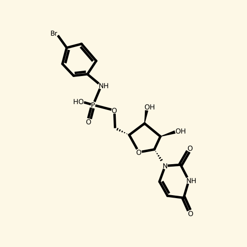 O=c1ccn([C@@H]2O[C@H](COP(=O)(O)Nc3ccc(Br)cc3)[C@@H](O)[C@H]2O)c(=O)[nH]1